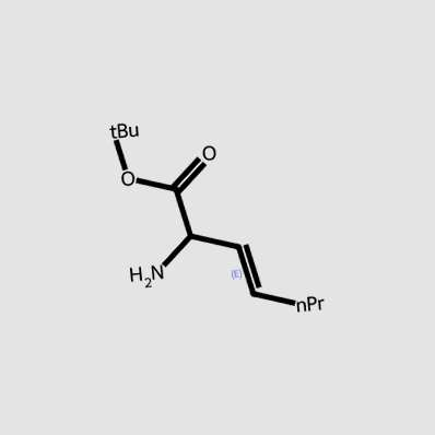 CCC/C=C/C(N)C(=O)OC(C)(C)C